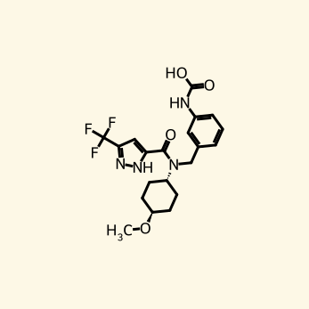 CO[C@H]1CC[C@H](N(Cc2cccc(NC(=O)O)c2)C(=O)c2cc(C(F)(F)F)n[nH]2)CC1